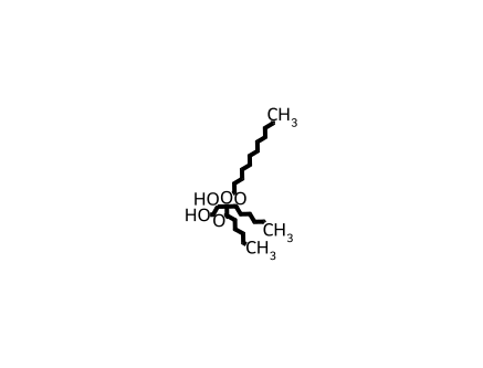 CCCCCCCCCCCCOC(C(=O)CCCCC)(C(=O)CCCCC)C(O)CO